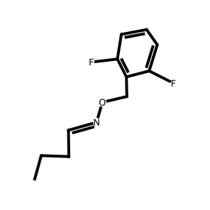 CCCC=NOCc1c(F)cccc1F